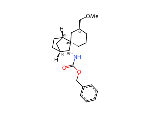 COC[C@H]1CCC[C@@]2(C1)[C@H]1CC[C@H](C1)[C@H]2NC(=O)OCc1ccccc1